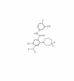 N#Cc1cc(NC(=O)c2cc(Cl)c(C(F)F)nc2N2CCCC(F)(F)CC2)ccc1F